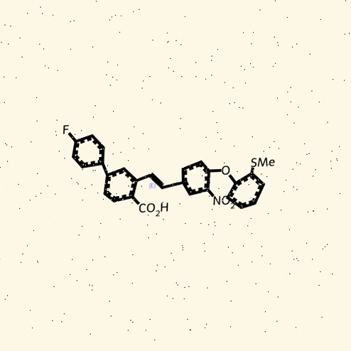 CSc1ccccc1Oc1ccc(/C=C/c2cc(-c3ccc(F)cc3)ccc2C(=O)O)cc1[N+](=O)[O-]